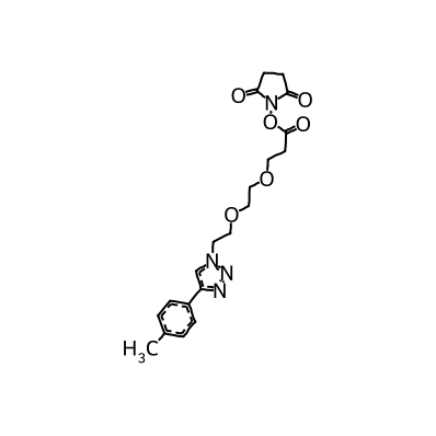 Cc1ccc(-c2cn(CCOCCOCCC(=O)ON3C(=O)CCC3=O)nn2)cc1